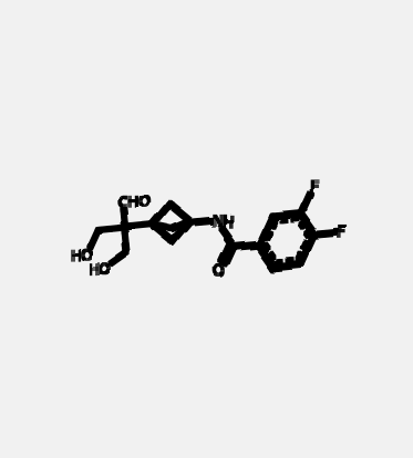 O=CC(CO)(CO)C12CC(NC(=O)c3ccc(F)c(F)c3)(C1)C2